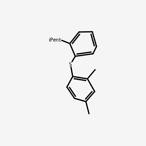 CCCC(C)c1ccccc1Sc1ccc(C)cc1C